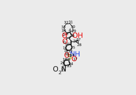 O=c1oc2c(c(O)c1C(c1cccc(NS(=O)(=O)c3ccc([N+](=O)[O-])cc3)c1)C1CC1)CCCCCC2